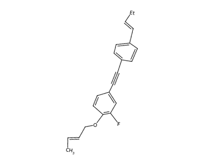 CC=CCOc1ccc(C#Cc2ccc(/C=C/CC)cc2)cc1F